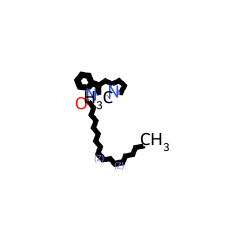 CCCCC/C=C\C/C=C\CCCCCCCC(=O)n1cc(CC2CCCN2C)c2ccccc21